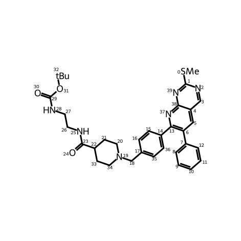 CSc1ncc2cc(-c3ccccc3)c(-c3ccc(CN4CCC(C(=O)NCCNC(=O)OC(C)(C)C)CC4)cc3)nc2n1